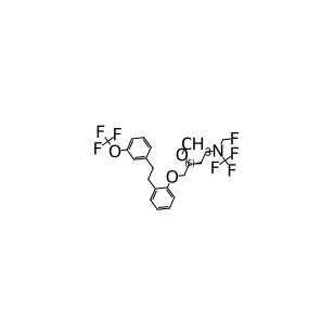 CO[C@@H](CCN(CF)C(F)(F)F)COc1ccccc1CCc1cccc(OC(F)(F)F)c1